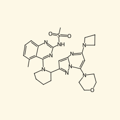 Cc1cccc2nc(NS(C)(=O)=O)nc(N3CCCCC3c3cc4nc(N5CCC5)cc(N5CCOCC5)n4n3)c12